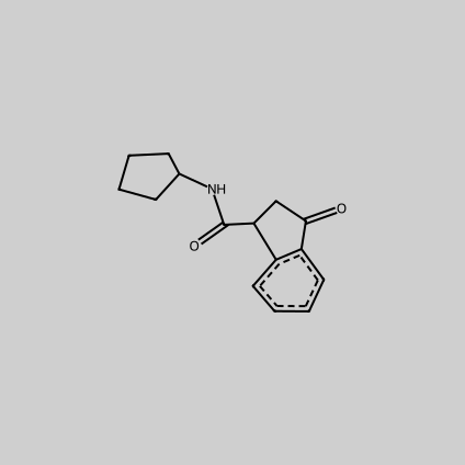 O=C1CC(C(=O)NC2CCCC2)c2ccccc21